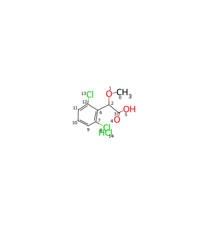 COC(C(=O)O)c1c(Cl)cccc1Cl.Cl